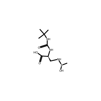 CB(O)NC[C@H](NC(=O)NC(C)(C)C)C(=O)O